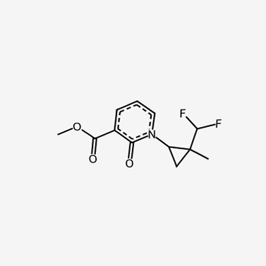 COC(=O)c1cccn(C2CC2(C)C(F)F)c1=O